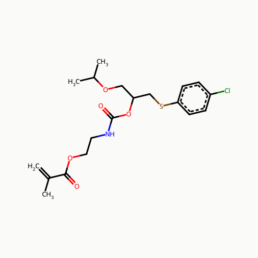 C=C(C)C(=O)OCCNC(=O)OC(COC(C)C)CSc1ccc(Cl)cc1